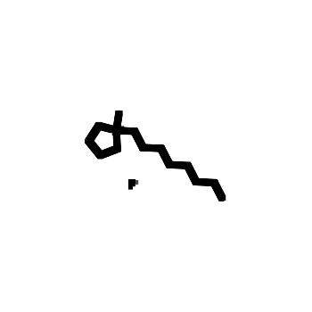 CCCCCCCC[N+]1(C)CCCC1.[F-]